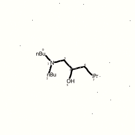 CCCCN(CCCC)CC(O)CC(C)C